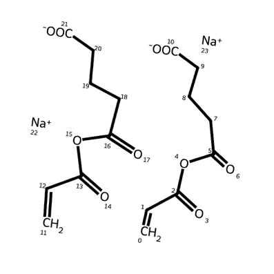 C=CC(=O)OC(=O)CCCC(=O)[O-].C=CC(=O)OC(=O)CCCC(=O)[O-].[Na+].[Na+]